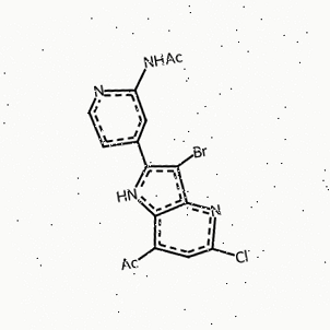 CC(=O)Nc1cc(-c2[nH]c3c(C(C)=O)cc(Cl)nc3c2Br)ccn1